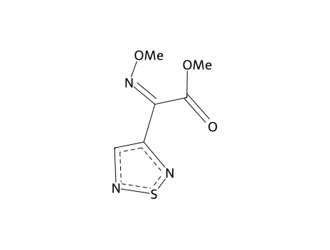 CON=C(C(=O)OC)c1cnsn1